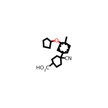 Cc1ccc(C2(C#N)CCC(C(=O)O)CC2)cc1OC1CCCC1